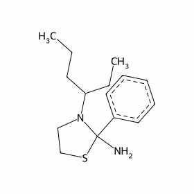 CCCC(CC)N1CCSC1(N)c1ccccc1